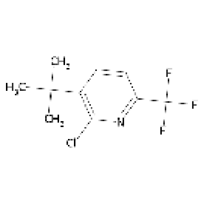 CC(C)(C)c1ccc(C(F)(F)F)nc1Cl